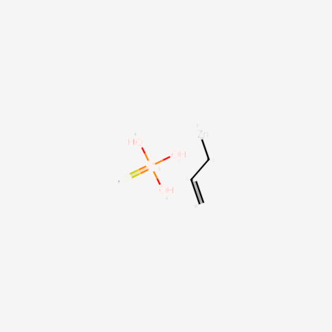 C=C[CH2][Zn].OP(O)(O)=S